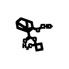 CC1(OC(=O)C2C3CC4CC(C3)CC2(O[C]=O)C4)CCC1